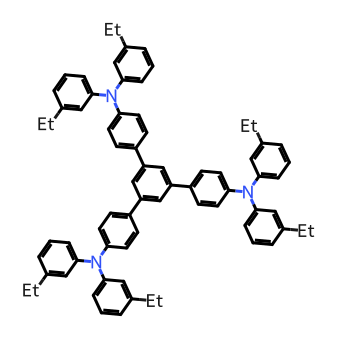 CCc1cccc(N(c2ccc(-c3cc(-c4ccc(N(c5cccc(CC)c5)c5cccc(CC)c5)cc4)cc(-c4ccc(N(c5cccc(CC)c5)c5cccc(CC)c5)cc4)c3)cc2)c2cccc(CC)c2)c1